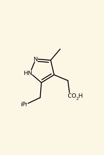 Cc1n[nH]c(CC(C)C)c1CC(=O)O